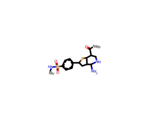 CNC(=O)C1CNC(N)C2CC(c3ccc(S(=O)(=O)NC(C)(C)C)cc3)SC12